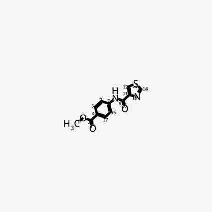 COC(=O)c1ccc(NC(=O)c2cscn2)cc1